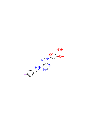 OC[C@H]1OC(n2cnc3c(NCc4ccc(I)cc4)ncnc32)C[C@@H]1O